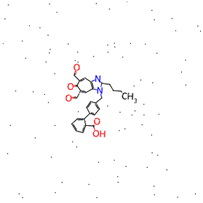 CCCCc1nc2cc(C=O)c(=O)c(C=O)cc2n1Cc1ccc(-c2ccccc2C(=O)O)cc1